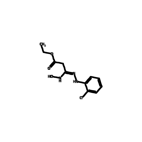 CCOC(=O)CC(=NNc1ccccc1Cl)NO